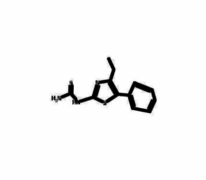 CCc1nc(NC(N)=S)sc1-c1ccccc1